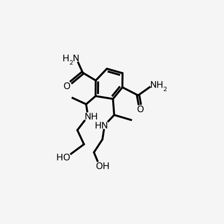 CC(NCCO)c1c(C(N)=O)ccc(C(N)=O)c1C(C)NCCO